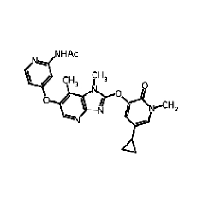 CC(=O)Nc1cc(Oc2cnc3nc(Oc4cc(C5CC5)cn(C)c4=O)n(C)c3c2C)ccn1